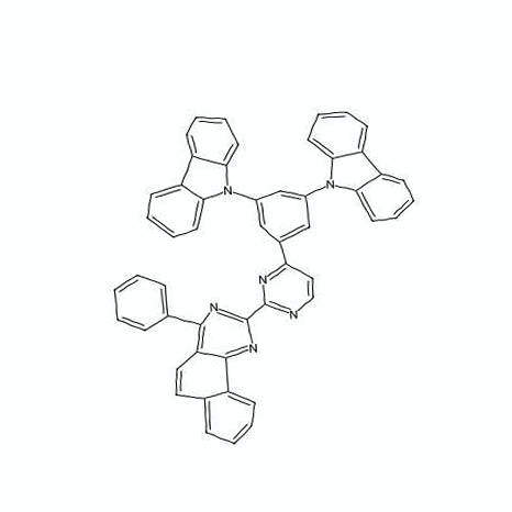 c1ccc(-c2nc(-c3nccc(-c4cc(-n5c6ccccc6c6ccccc65)cc(-n5c6ccccc6c6ccccc65)c4)n3)nc3c2ccc2ccccc23)cc1